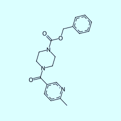 Cc1ccc(C(=O)N2CCN(C(=O)OCc3ccccc3)CC2)cn1